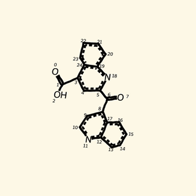 O=C(O)c1cc(C(=O)c2ccnc3ccccc23)nc2ccccc12